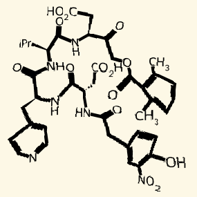 Cc1cccc(C)c1C(=O)OCC(=O)[C@H](CC(=O)O)NC(=O)[C@@H](NC(=O)[C@H](Cc1ccncc1)NC(=O)[C@H](CC(=O)O)NC(=O)Cc1ccc(O)c([N+](=O)[O-])c1)C(C)C